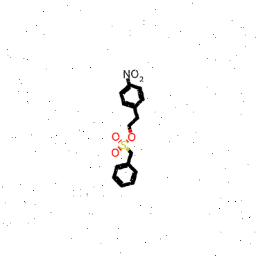 O=[N+]([O-])c1ccc(CCOS(=O)(=O)Cc2ccccc2)cc1